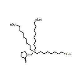 CCCCCCCCCCCCCCCCCC[N+](CCCCCCCCCCCCCCCCCC)(CCCCCCCCCCCCCCCCCC)CN1CCCC1=O